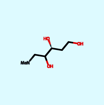 CNCC(O)[C@H](O)CCO